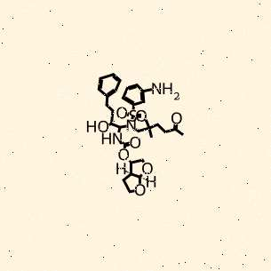 CC(=O)CCC(C)(C)CN(C(NC(=O)O[C@H]1CO[C@H]2OCC[C@H]21)C(O)CCc1ccccc1)S(=O)(=O)c1cccc(N)c1